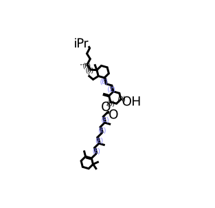 C=C1/C(=C\C=C2/CCCC3(C)C2CC[C@@H]3[C@H](C)CCCC(C)C)C[C@@H](O)C[C@@H]1OC(=O)/C=C(C)/C=C/C=C(C)/C=C/C1=C(C)CCCC1(C)C